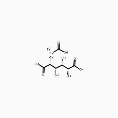 O=C(O)O.O=C(O)[C@@H](O)[C@@H](O)[C@H](O)[C@@H](O)C(=O)O.[Fe]